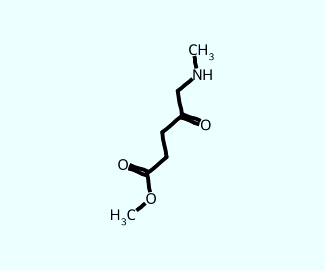 CNCC(=O)CCC(=O)OC